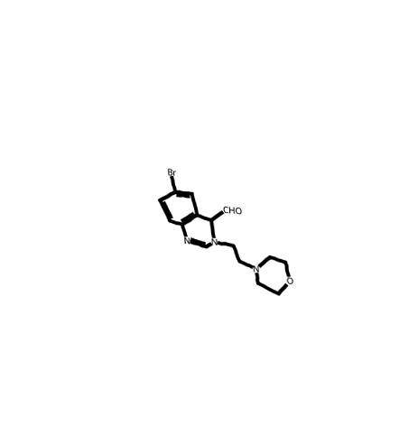 O=CC1c2cc(Br)ccc2N=CN1CCN1CCOCC1